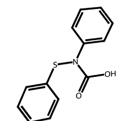 O=C(O)N(Sc1ccccc1)c1ccccc1